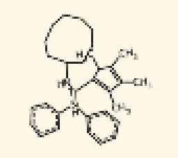 CC1=C(C)C(C)[C]([Ti]([NH]C2CCCCCCCC2)[SiH](c2ccccc2)c2ccccc2)=C1C